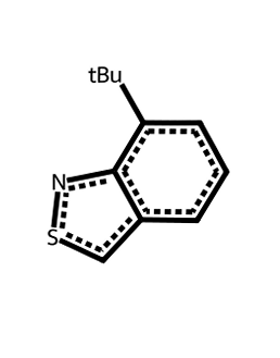 CC(C)(C)c1cccc2csnc12